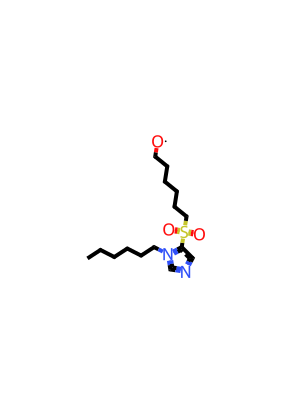 CCCCCCn1cncc1S(=O)(=O)CCCCCC[O]